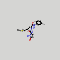 CC(C)(C)SCCCCC[C@H](NC(=O)C1CCC(=O)N1)C(=O)Nc1ccccc1